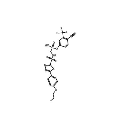 CCCOc1ccc(-c2nnc(S(=O)(=O)NCP(=O)(O)Oc3ccc(C#N)c(C(F)(F)F)c3)s2)cc1